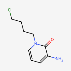 Nc1cccn(CCCCCl)c1=O